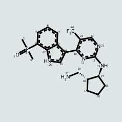 CP(C)(=O)c1cccc2c(-c3nc(N[C@H]4CCC[C@@H]4CN)ncc3C(F)(F)F)c[nH]c12